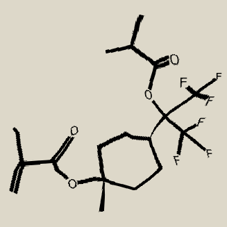 C=C(C)C(=O)O[C@]1(C)CC[C@@H](C(OC(=O)C(C)C)(C(F)(F)F)C(F)(F)F)CC1